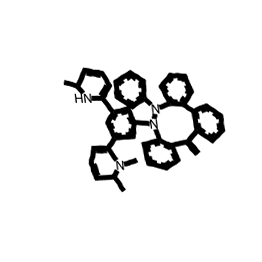 C=C1c2ccccc2-c2ccccc2N(c2ccccc2)N(c2cc(C3=CC=CC(C)N3)cc(C3=CC=CC(C)N3C)c2)c2ccccc21